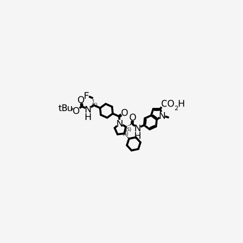 Cn1c(C(=O)O)cc2cc(NC(=O)[C@@H]3[C@H](C4CCCCC4)CCN3C(=O)C3CCC([C@@H](CF)NC(=O)OC(C)(C)C)CC3)ccc21